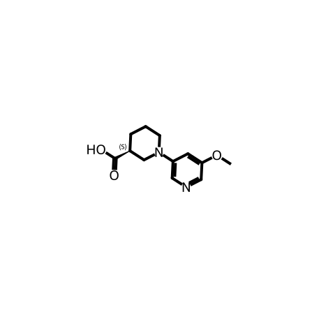 COc1cncc(N2CCC[C@H](C(=O)O)C2)c1